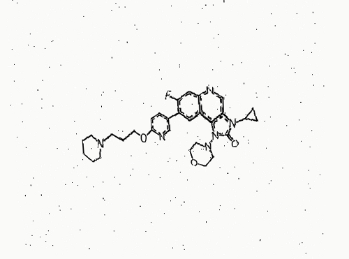 O=c1n(C2CC2)c2cnc3cc(F)c(-c4ccc(OCCCN5CCCCC5)nc4)cc3c2n1N1CCOCC1